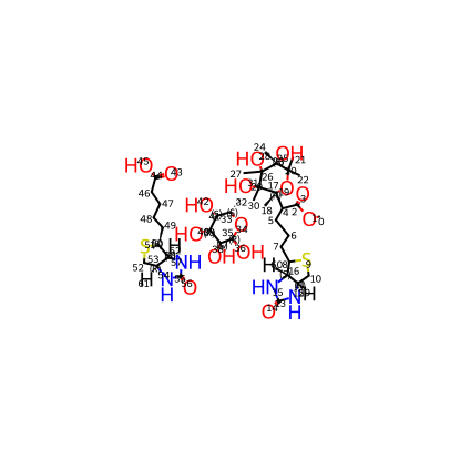 COC(=O)C(CCCC1SC[C@@H]2NC(=O)N[C@H]12)[C@@]1(C)OC(C)(C)[C@@](C)(O)C(C)(O)C1(C)O.C[C@@H]1O[C@@H](O)[C@@H](O)[C@H](O)[C@@H]1O.O=C(O)CCCC[C@@H]1SC[C@@H]2NC(=O)N[C@@H]21